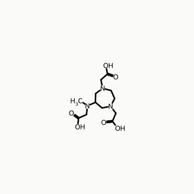 CN(CC(=O)O)C1CN(CC(=O)O)CCN(CC(=O)O)C1